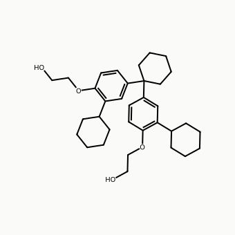 OCCOc1ccc(C2(c3ccc(OCCO)c(C4CCCCC4)c3)CCCCC2)cc1C1CCCCC1